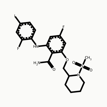 CS(=O)(=O)N1CCCCC1COc1cc(F)cc(Nc2ccc(I)cc2F)c1C(N)=O